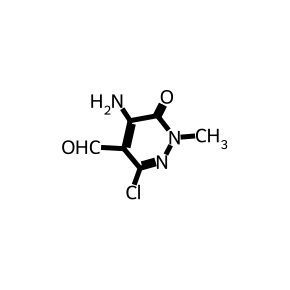 Cn1nc(Cl)c(C=O)c(N)c1=O